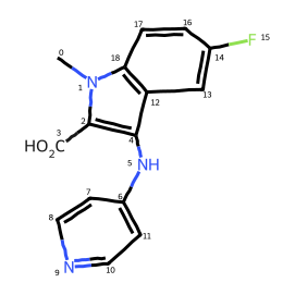 Cn1c(C(=O)O)c(Nc2ccncc2)c2cc(F)ccc21